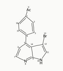 CC(=O)c1ccc(-c2ccnc3[nH]cc(Br)c23)cc1